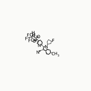 Cc1ccc2c(C#N)c(-c3ccc(S(=O)(=O)NC(C)(C)C(F)(F)F)cn3)n(C3CCC(F)C3)c2c1